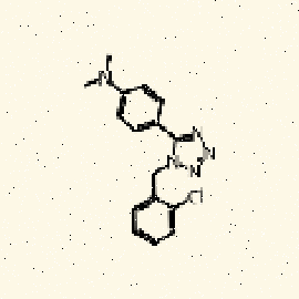 CN(C)c1ccc(-c2nnnn2Cc2ccccc2Cl)cc1